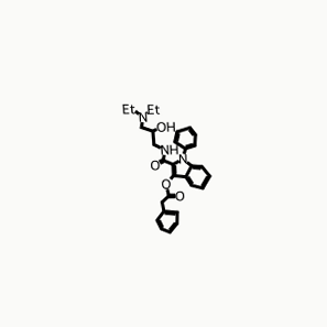 CCN(CC)CC(O)CNC(=O)c1c(OC(=O)Cc2ccccc2)c2ccccc2n1-c1ccccc1